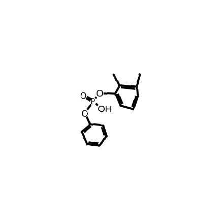 Cc1cccc(OP(=O)(O)Oc2ccccc2)c1C